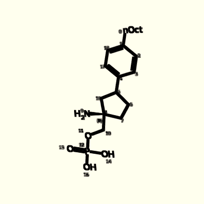 CCCCCCCCc1ccc(C2CC[C@](N)(COP(=O)(O)O)C2)cc1